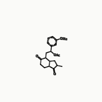 COc1cccc(C(CC2C(=O)CCC3C(=O)C(C)CC23)OC(C)=O)c1